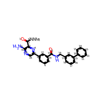 CNC(=O)c1nc(-c2cccc(C(=O)NCc3cccc(-c4ccccc4)c3)c2)cnc1N